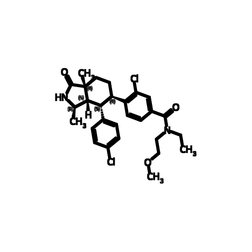 CCN(CCOC)C(=O)c1ccc([C@@H]2CC[C@@]3(C)C(=O)N[C@H](C)[C@H]3[C@H]2c2ccc(Cl)cc2)c(Cl)c1